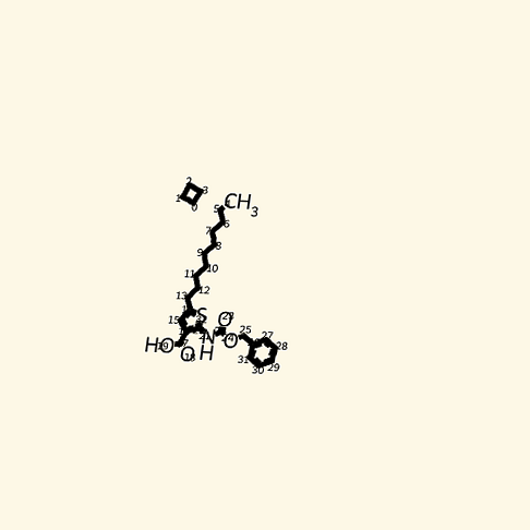 C1CCC1.CCCCCCCCCCc1cc(C(=O)O)c(NC(=O)OCc2ccccc2)s1